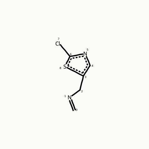 C=NCc1cnc(Cl)s1